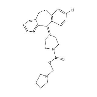 O=C(OCN1CCCC1)N1CCC(=C2c3ccc(Cl)cc3CCc3cccnc32)CC1